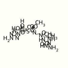 CCOP(=O)(CN(CCNC(=O)C1=Nc2c(nc(N)[nH]c2=O)NC1(C)C)CCSC[C@H]1O[C@@H](n2cnc3c(N)ncnc32)[C@@H](O)[C@H]1O)OCC